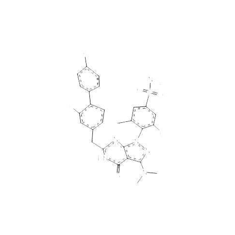 CN(C)c1nn(-c2c(Cl)cc(S(N)(=O)=O)cc2Cl)c2nc(Cc3ccc(-c4ccc(F)cc4)c(F)c3)[nH]c(=O)c12